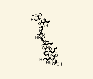 CC[C@H](C)[C@H](NC(=O)CNC(=O)[C@H](C)NC(=O)CNC(=O)[C@@H](NC(=O)[C@@H]1CCCN1C(=O)[C@@H](NC(=O)[C@H](CC(=O)O)NC(=O)[C@@H](N)CS)[C@@H](C)CC)[C@@H](C)CC)C(=O)N[C@@H](CS)C(=O)O